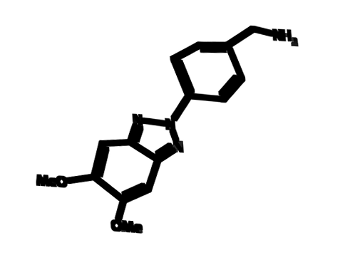 COc1cc2nn(-c3ccc(CN)cc3)nc2cc1OC